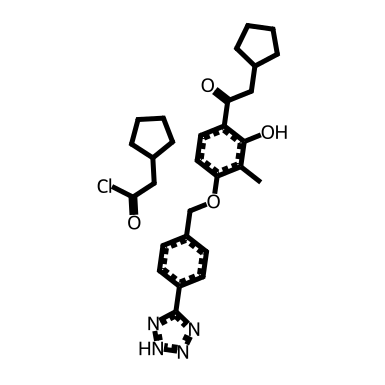 Cc1c(OCc2ccc(-c3nn[nH]n3)cc2)ccc(C(=O)CC2CCCC2)c1O.O=C(Cl)CC1CCCC1